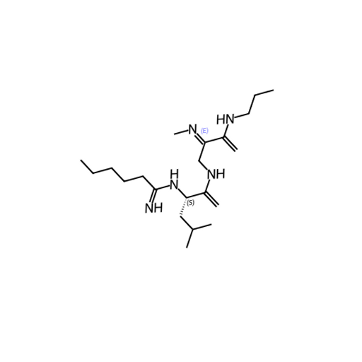 C=C(NCCC)/C(CNC(=C)[C@H](CC(C)C)NC(=N)CCCCC)=N/C